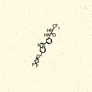 O=C(NCC(F)(F)F)Nc1cccc(-c2cnc3cc(CON4CC(F)(F)C4)ccn23)c1